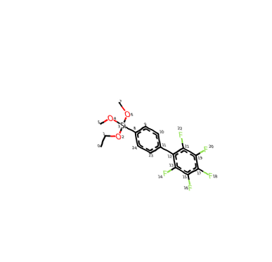 CCO[Si](OC)(OC)c1ccc(-c2c(F)c(F)c(F)c(F)c2F)cc1